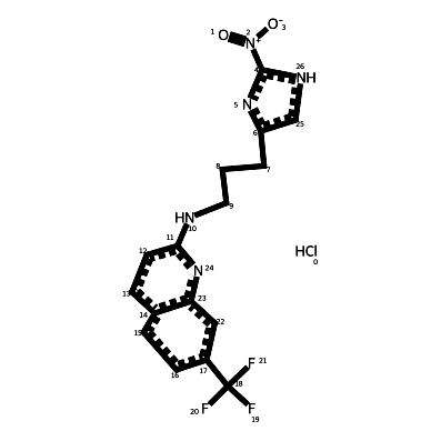 Cl.O=[N+]([O-])c1nc(CCCNc2ccc3ccc(C(F)(F)F)cc3n2)c[nH]1